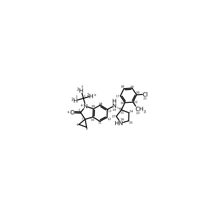 [2H]C([2H])([2H])N1C(=O)C2(CC2)c2ccc(N[C@]3(c4cccc(Cl)c4C)CCNC3)cc21